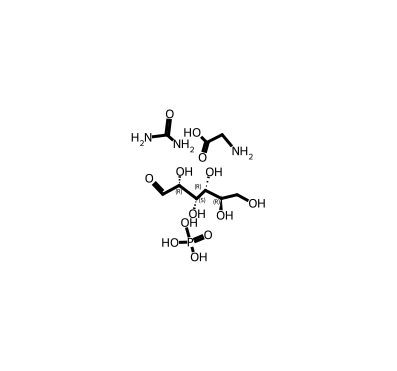 NC(N)=O.NCC(=O)O.O=C[C@H](O)[C@@H](O)[C@H](O)[C@H](O)CO.O=P(O)(O)O